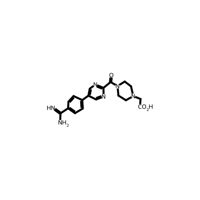 N=C(N)c1ccc(-c2cnc(C(=O)N3CCN(CC(=O)O)CC3)nc2)cc1